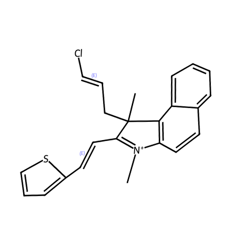 C[N+]1=C(/C=C/c2cccs2)C(C)(C/C=C/Cl)c2c1ccc1ccccc21